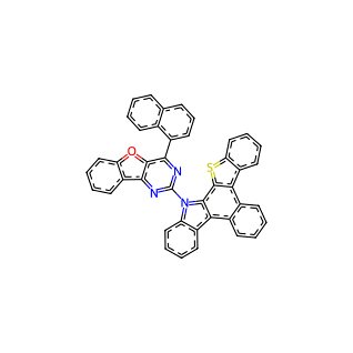 c1ccc2c(-c3nc(-n4c5ccccc5c5c6ccccc6c6c7ccccc7sc6c54)nc4c3oc3ccccc34)cccc2c1